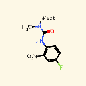 CCCCCCCN(C)C(=O)Nc1ccc(F)cc1[N+](=O)[O-]